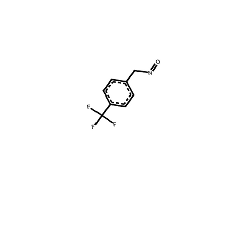 O=NCc1ccc(C(F)(F)F)cc1